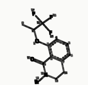 CC(Oc1cccc2c1C(=O)N(Br)CC2)C(F)(F)F